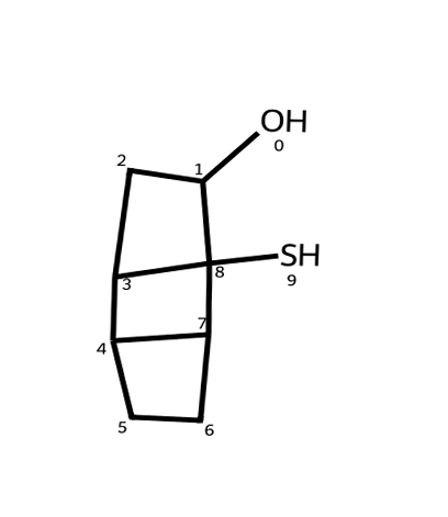 OC1CC2C3CCC3C12S